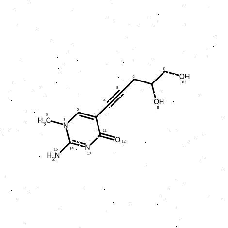 Cn1cc(C#CCC(O)CO)c(=O)nc1N